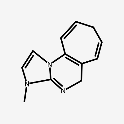 CN1C=CN2C1=NCC1=C2C=CCC=C1